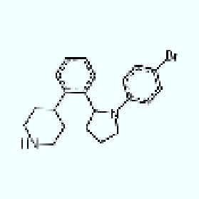 Brc1ccc(N2CCCC2c2ccccc2C2CCNCC2)cc1